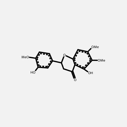 COc1ccc(C2CC(=O)c3c(cc(OC)c(OC)c3O)O2)cc1O